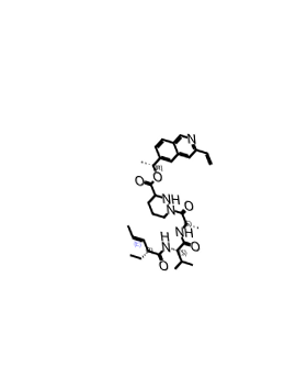 C=Cc1cc2cc([C@@H](C)OC(=O)C3CCCN(C(=O)[C@H](C)NC(=O)[C@@H](NC(=O)[C@@H](/C=C/C)CC)C(C)C)N3)ccc2cn1